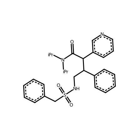 CC(C)N(C(=O)C(c1cccnc1)C(CNS(=O)(=O)Cc1ccccc1)c1ccccc1)C(C)C